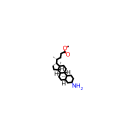 COC(=O)CC[C@@H](C)[C@H]1CC[C@H]2[C@@H]3CC[C@@H]4C[C@H](N)CC[C@]4(C)[C@H]3CC[C@]12C